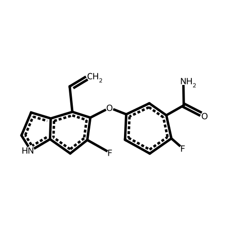 C=Cc1c(Oc2ccc(F)c(C(N)=O)c2)c(F)cc2[nH]ccc12